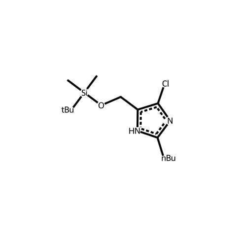 CCCCc1nc(Cl)c(CO[Si](C)(C)C(C)(C)C)[nH]1